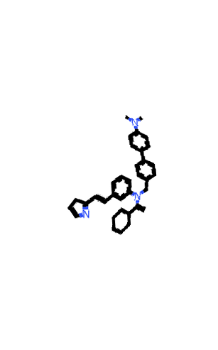 C=C(C1CCCCC1)N(Cc1ccc(-c2ccc(N(C)C)cc2)cc1)c1cccc(/C=C/C2=NC=CC2)c1